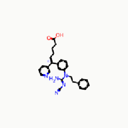 N#CN=C(N)N(CCc1ccccc1)c1cccc(/C(=C\CCCC(=O)O)c2cccnc2)c1